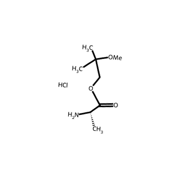 COC(C)(C)COC(=O)[C@H](C)N.Cl